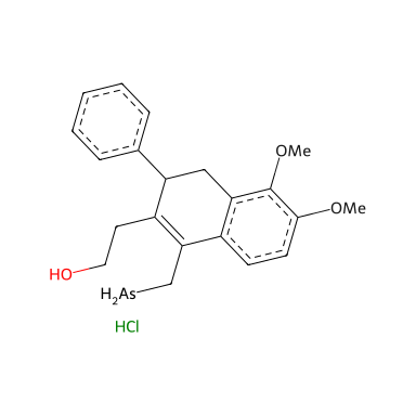 COc1ccc2c(c1OC)CC(c1ccccc1)C(CCO)=C2C[AsH2].Cl